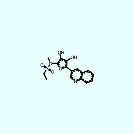 CCS(=O)(=O)N(C)c1oc(-c2cnc3ccccc3c2)c(O)c1O